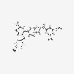 CNc1nc(C)cc(Nc2cc3cc(-c4cc(C)ncc4OC4CCC(O)CC4)ccn3n2)n1